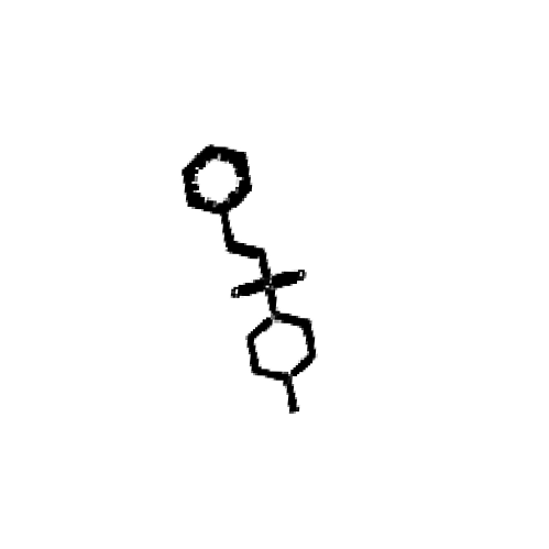 CN1CCN(S(=O)(=O)/C=C/c2ccccc2)CC1